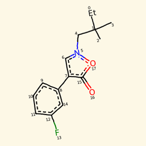 CCC(C)(C)Cn1cc(-c2cccc(F)c2)c(=O)o1